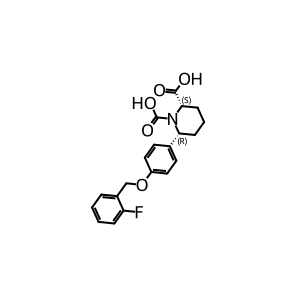 O=C(O)[C@@H]1CCC[C@H](c2ccc(OCc3ccccc3F)cc2)N1C(=O)O